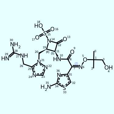 CC(C)(CO)O/N=C(\C(=O)N[C@@H]1C(=O)N(S(=O)(=O)O)[C@@H]1Cn1ncnc1CNC(=N)N)c1csc(N)n1